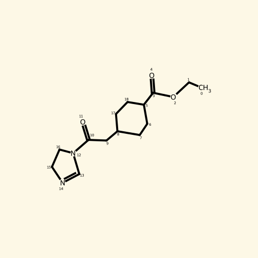 CCOC(=O)C1CCC(CC(=O)N2C=NCC2)CC1